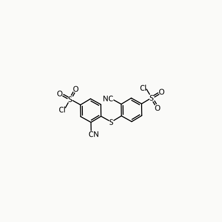 N#Cc1cc(S(=O)(=O)Cl)ccc1Sc1ccc(S(=O)(=O)Cl)cc1C#N